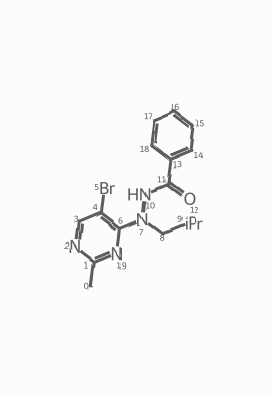 Cc1ncc(Br)c(N(CC(C)C)NC(=O)c2ccccc2)n1